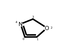 C1=COCN=1